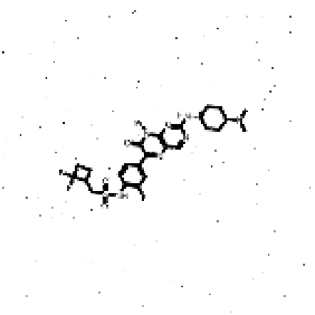 CC(C)n1c(=O)c(-c2ccc(NS(=O)(=O)CC3CCC3(F)F)c(F)c2)nc2cnc(N[C@H]3CC[C@H](N(C)C)CC3)nc21